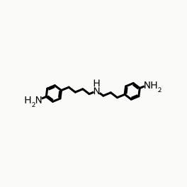 Nc1ccc(CCCCNCCCc2ccc(N)cc2)cc1